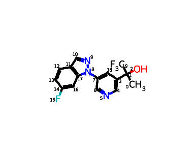 CC(O)(c1cncc(-n2ncc3ccc(F)cc32)c1)C(F)(F)F